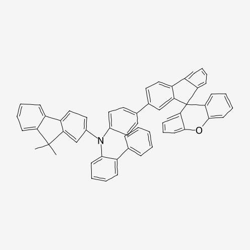 CC1(C)c2ccccc2-c2ccc(N(c3ccc(-c4ccc5c(c4)C4(c6ccccc6Oc6ccccc64)c4ccccc4-5)cc3)c3ccccc3-c3ccccc3)cc21